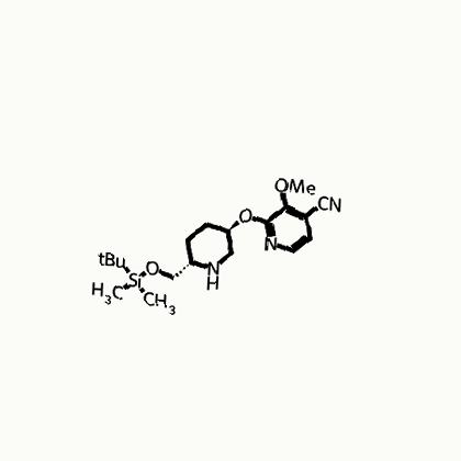 COc1c(C#N)ccnc1O[C@@H]1CC[C@@H](CO[Si](C)(C)C(C)(C)C)NC1